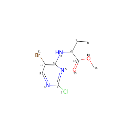 CCC(Nc1nc(Cl)ncc1Br)C(=O)OC